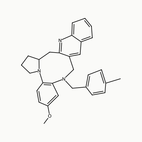 COc1ccc2c(c1)N(Cc1ccc(C)cc1)Cc1cc3ccccc3nc1CC1CCCN21